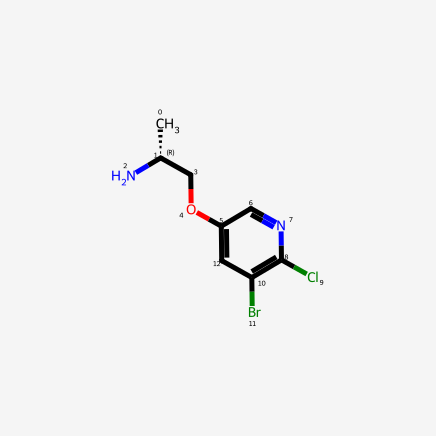 C[C@@H](N)COc1cnc(Cl)c(Br)c1